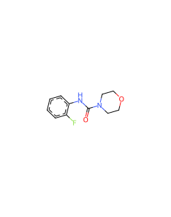 O=C(Nc1ccccc1F)N1CCOCC1